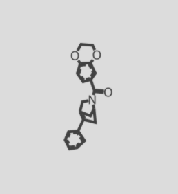 O=C(c1ccc2c(c1)OCCO2)N1CC2=C(c3ccccc3)CC1C2